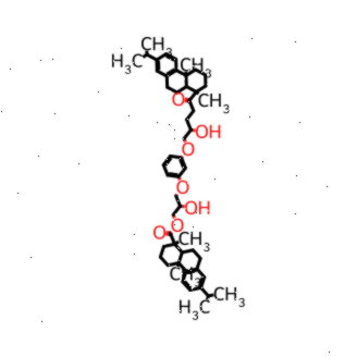 CC(C)c1ccc2c(c1)CCC1C(C)(C(=O)CCC(O)COc3cccc(OCC(O)COC(=O)C4(C)CCCC5(C)c6ccc(C(C)C)cc6CCC45)c3)CCCC21C